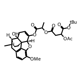 COc1ccc2c3c1O[C@H]1C(OC(=O)C(C)OC(=O)CC(OC(C)=O)C(=O)OC(C)(C)C)=CC[C@@]4(O)[C@@H](C2)N(C)CC[C@]314